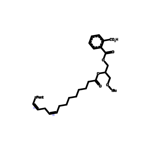 CCCCC/C=C\C/C=C\CCCCCCCC(=O)OC(COC(=O)c1ccccc1C(=O)O)COC(C)(C)C